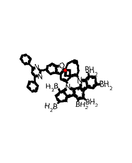 Bc1cc(B)c2c(c1)c1c(B)c(B)c3c4cc(B)cc(B)c4n(/C4=C/C=C\CC#CC4)c3c1n2C1=Cc2c(oc3ccc(-c4nc(-c5ccccc5)cc(-c5ccccc5)n4)cc23)CC1